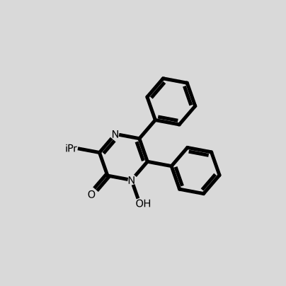 CC(C)c1nc(-c2ccccc2)c(-c2ccccc2)n(O)c1=O